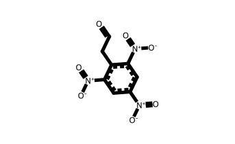 O=CCc1c([N+](=O)[O-])cc([N+](=O)[O-])cc1[N+](=O)[O-]